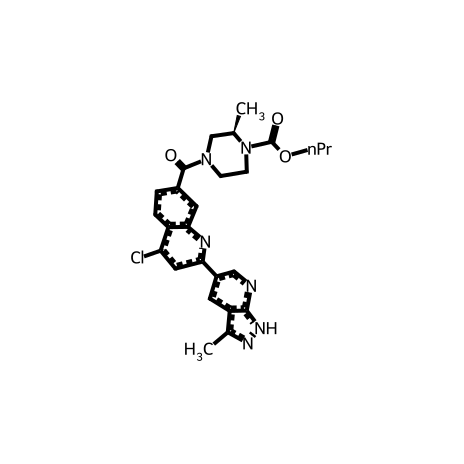 CCCOC(=O)N1CCN(C(=O)c2ccc3c(Cl)cc(-c4cnc5[nH]nc(C)c5c4)nc3c2)C[C@H]1C